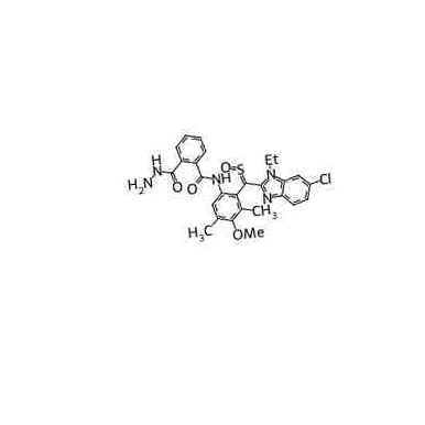 CCn1c(C(=S=O)c2c(NC(=O)c3ccccc3C(=O)NN)cc(C)c(OC)c2C)nc2ccc(Cl)cc21